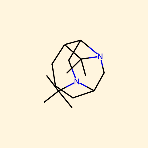 CC(C)(C)N1CC2C3CCCC1CN2C3(C)C